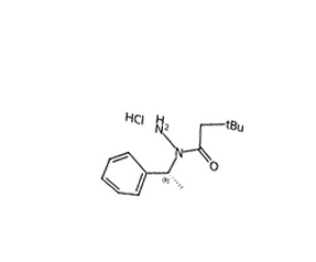 C[C@H](c1ccccc1)N(N)C(=O)CC(C)(C)C.Cl